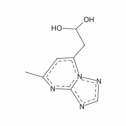 Cc1cc(CC(O)O)n2ncnc2n1